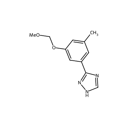 COCOc1cc(C)cc(-c2nc[nH]n2)c1